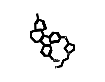 CNc1ccc(C2=C(c3ccc(OC4CCN(CCCF)C4)cc3)c3ccc(C)cc3CCC2)cc1